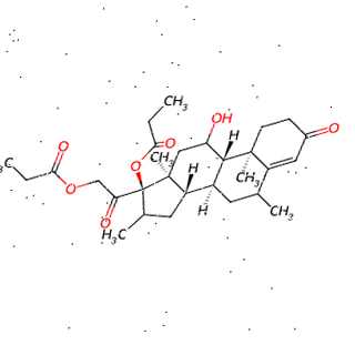 CCC(=O)OCC(=O)[C@@]1(OC(=O)CC)C(C)C[C@H]2[C@@H]3CC(C)C4=CC(=O)CC[C@]4(C)[C@H]3C(O)C[C@@]21C